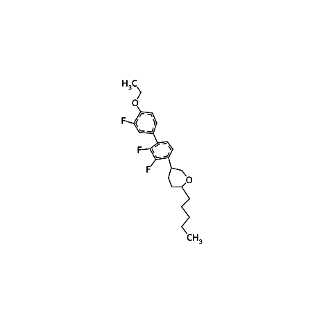 CCCCCC1CCC(c2ccc(-c3ccc(OCC)c(F)c3)c(F)c2F)CO1